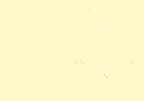 C=C/N=C(/N)C(=C(C)C)/C(=C\C)C1CC=C(C(C)C2=CC=CCC2)C=C1C